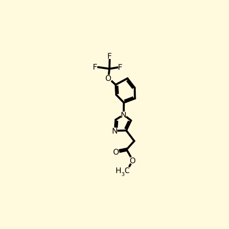 COC(=O)Cc1cn(-c2cccc(OC(F)(F)F)c2)cn1